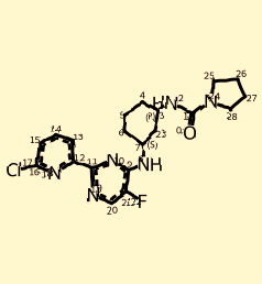 O=C(N[C@@H]1CCC[C@H](Nc2nc(-c3cccc(Cl)n3)ncc2F)C1)N1CCCC1